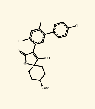 CO[C@H]1CC[C@@]2(CC1)NC(=O)C(c1cc(-c3ccc(Cl)cc3)c(F)cc1C)=C2O